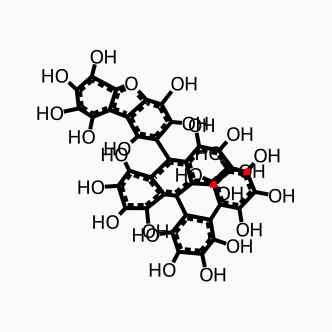 Oc1c(O)c(O)c(-c2c(O)c(O)c(O)c(O)c2-c2c3c(O)c(O)c(O)c(O)c3c(-c3c(O)c(O)c4oc5c(O)c(O)c(O)c(O)c5c4c3O)c3c(O)c(O)c(O)c(O)c23)c(O)c1O